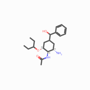 CCC(CC)O[C@@H]1CC(C(O)c2ccccc2)C[C@H](N)[C@H]1NC(C)=O